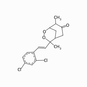 CC1C(=O)CC2CC1OOC2(C)C=Cc1ccc(Cl)cc1Cl